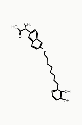 C[C@H](C(=O)O)c1ccc2cc(OCCCCCCCCc3cccc(O)c3O)ccc2c1